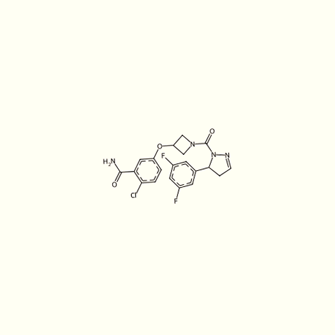 NC(=O)c1cc(OC2CN(C(=O)N3N=CCC3c3cc(F)cc(F)c3)C2)ccc1Cl